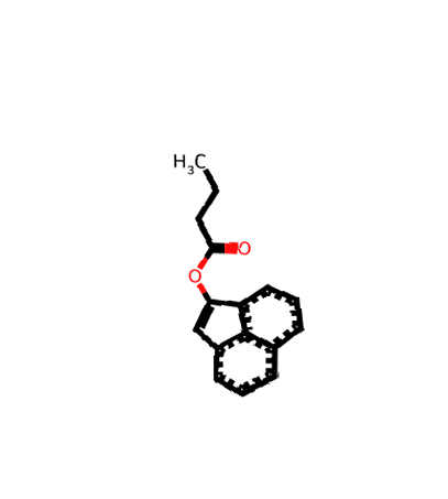 CCCC(=O)OC1=Cc2cccc3cccc1c23